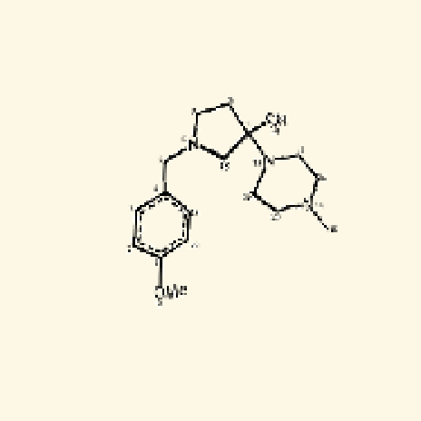 COc1ccc(CN2CCC(C#N)(N3CCN(C)CC3)C2)cc1